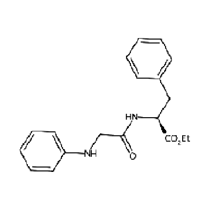 CCOC(=O)[C@H](Cc1ccccc1)NC(=O)CNc1ccccc1